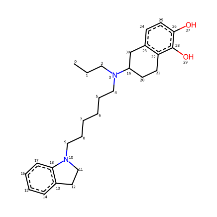 CCCN(CCCCCCN1CCc2ccccc21)C1CCc2c(ccc(O)c2O)C1